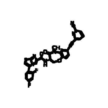 CN1C(=O)[C@@H](NC(=O)c2cn3c(-c4ccc(F)cc4F)csc3n2)COc2ccc(C#Cc3cccc(C#N)n3)cc21